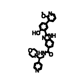 COc1ncccc1-c1ccc(O)c(-c2nc3cc(C(=O)NCC(c4ccncc4)N4CCOCC4)ccc3[nH]2)c1